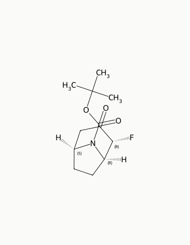 CC(C)(C)OC(=O)N1[C@H]2CC[C@@H]1[C@@H](F)C(=O)C2